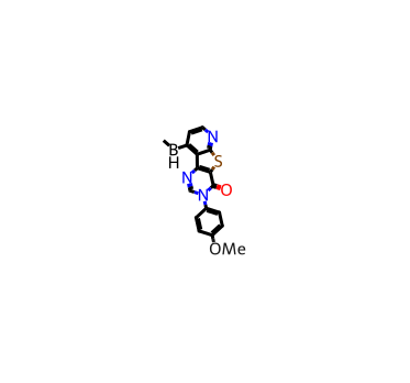 CBc1ccnc2sc3c(=O)n(-c4ccc(OC)cc4)cnc3c12